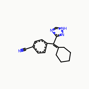 N#Cc1ccc(C(=C2CCCCC2)c2nc[nH]n2)cc1